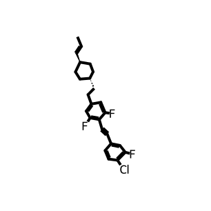 CC=C[C@H]1CC[C@H](CCc2cc(F)c(C#Cc3ccc(Cl)c(F)c3)c(F)c2)CC1